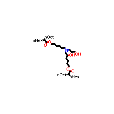 CCCCCCCCC(CCCCCC)C(=O)OCCCCCCN(CCCO)CC(O)CCCCOC(=O)C(CCCCCC)CCCCCCCC